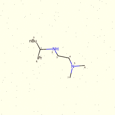 CCCCC(NCCN(C)C)C(C)C